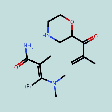 C=C(C)C(=O)C1CNCCO1.CCC/C(=C(/C)C(N)=O)N(C)C